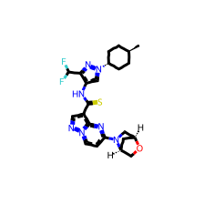 C[C@H]1CC[C@H](n2cc(NC(=S)c3cnn4ccc(N5C[C@@H]6C[C@H]5CO6)nc34)c(C(F)F)n2)CC1